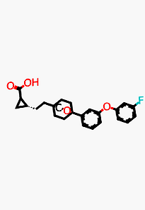 O=C(O)C1C[C@H]1CCC12CCC(c3cccc(Oc4cccc(F)c4)c3)(CC1)OC2